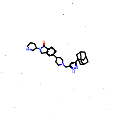 O=C1c2ccc(C3CCN(Cc4cc(C56CC7CC(CC(C7)C5)C6)n[nH]4)CC3)cc2CN1C1CCCNC1